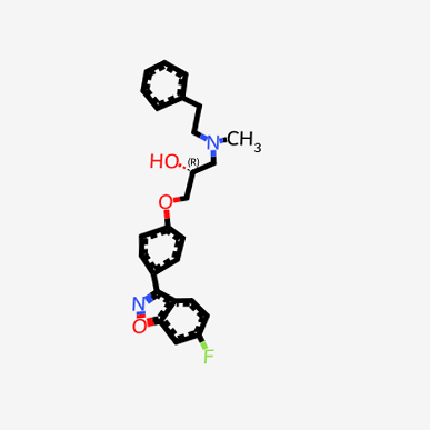 CN(CCc1ccccc1)C[C@@H](O)COc1ccc(-c2noc3cc(F)ccc23)cc1